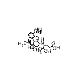 CO[C@@]12CC[C@@H](N[C@@H](CCC(=O)O)C(=O)O)[C@@H]3Oc4c(O)ccc5c4[C@@]31CCN(C)[C@@H]2C5.Cl.Cl